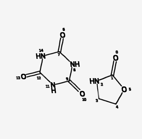 O=C1NCCO1.O=c1[nH]c(=O)[nH]c(=O)[nH]1